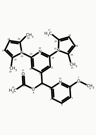 COc1cccc(C(OC(C)=O)c2cc(-n3c(C)ccc3C)nc(-n3c(C)ccc3C)c2)n1